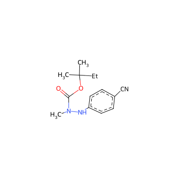 CCC(C)(C)OC(=O)N(C)Nc1ccc(C#N)cc1